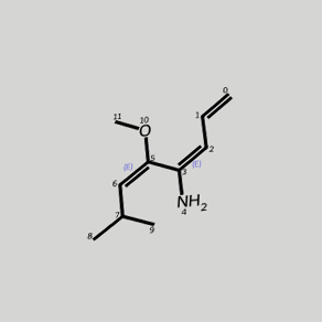 C=C/C=C(N)\C(=C/C(C)C)OC